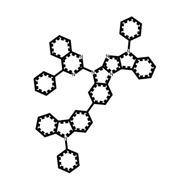 c1ccc(-c2nc(-n3c4cc(-c5ccc6c(c5)c5ccccc5n6-c5ccccc5)ccc4n4c5c6ccccc6n(-c6ccccc6)c5nc34)nc3ccccc23)cc1